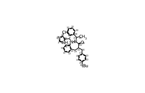 Cc1nc[nH]c1CN1c2ccccc2CC(Cc2ccc(C(C)(C)C)cc2)C(=O)N1C(C)c1ccccc1